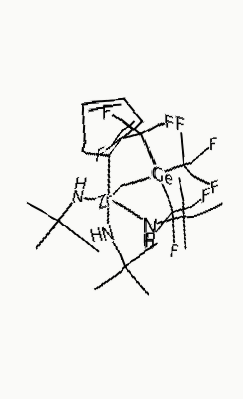 CC(C)(C)[NH][Zr]([NH]C(C)(C)C)([NH]C(C)(C)C)([C]1=CC=CC1)[Ge]([C](F)(F)F)([C](F)(F)F)[C](F)(F)F